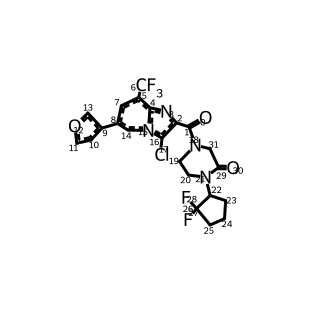 O=C(c1nc2c(C(F)(F)F)cc(-c3ccoc3)cn2c1Cl)N1CCN(C2CCCC2(F)F)C(=O)C1